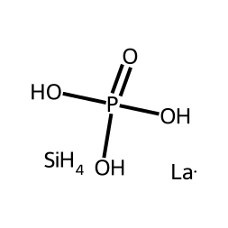 O=P(O)(O)O.[La].[SiH4]